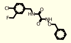 O=C(NCc1ccc(Cl)c(CF)c1)C(=O)NOCc1ccccc1